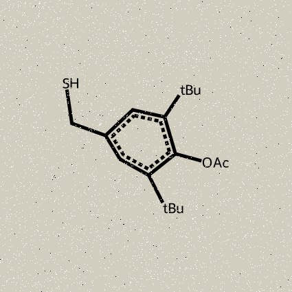 CC(=O)Oc1c(C(C)(C)C)cc(CS)cc1C(C)(C)C